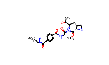 CC(C)C(C(=O)C(F)(F)F)N(C(=O)[C@H](C)NC(=O)c1ccc(C(=O)NCC(=O)O)cc1)C(=O)[C@@H]1CCCN1